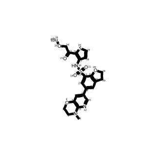 CN1CCOc2cc(-c3cc4c(c(S(=O)(=O)Nc5ccsc5C(=O)COC(C)(C)C)c3)OCC4)cnc21